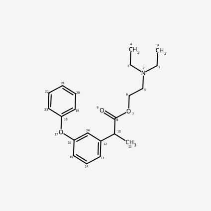 CCN(CC)CCOC(=O)C(C)c1cccc(Oc2ccccc2)c1